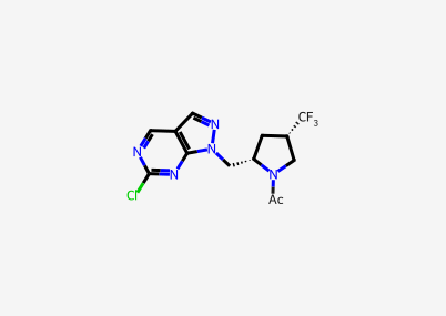 CC(=O)N1C[C@@H](C(F)(F)F)C[C@H]1Cn1ncc2cnc(Cl)nc21